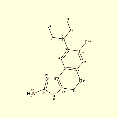 CCN(CC)c1cc2c(cc1F)OCc1sc(N)nc1-2